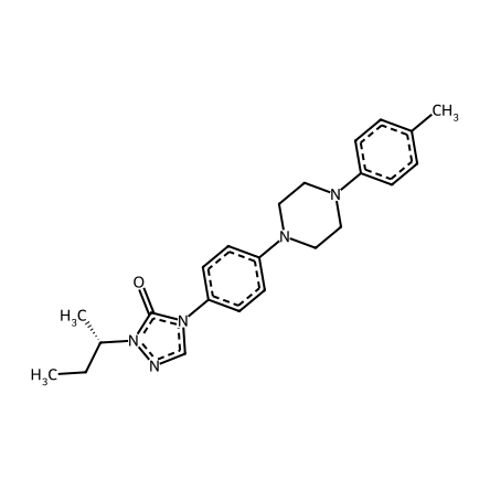 CC[C@H](C)n1ncn(-c2ccc(N3CCN(c4ccc(C)cc4)CC3)cc2)c1=O